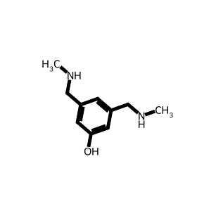 CNCc1cc(O)cc(CNC)c1